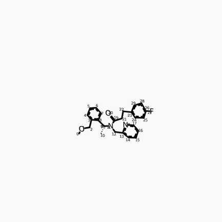 COCc1ccccc1[C@@H](C)N(Cc1ccccn1)C(=O)CCc1ccc(F)cc1